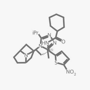 Cc1nnc(C(C)C)n1C1CC2CCC(C1)N2CC[C@H](NC(=O)C1CCCCC1)c1ccc([N+](=O)[O-])s1